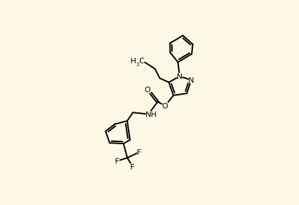 CCCc1c(OC(=O)NCc2cccc(C(F)(F)F)c2)cnn1-c1ccccc1